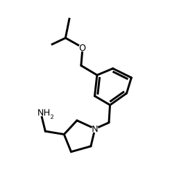 CC(C)OCc1cccc(CN2CCC(CN)C2)c1